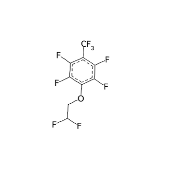 Fc1c(F)c(C(F)(F)F)c(F)c(F)c1OCC(F)F